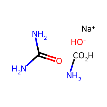 NC(=O)O.NC(N)=O.[Na+].[OH-]